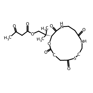 CC(=O)CC(=O)OCC(C)(C)[C@H]1OC(=O)CCC(=O)SCCNC(=O)CCNC1=O